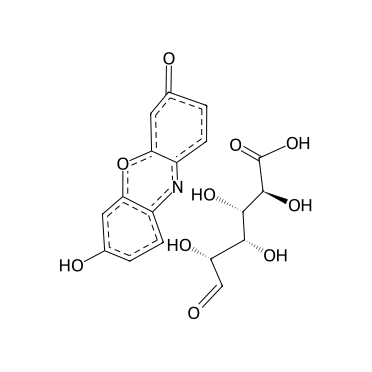 O=C[C@H](O)[C@@H](O)[C@H](O)[C@H](O)C(=O)O.O=c1ccc2nc3ccc(O)cc3oc-2c1